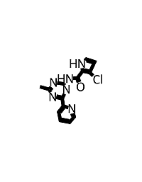 Cc1nc(NC(=O)c2[nH]ccc2Cl)nc(-c2ccccn2)n1